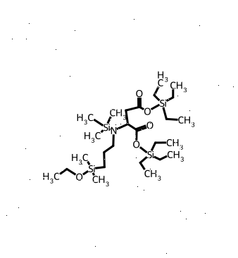 CCO[Si](C)(C)CCCN(C(CC(=O)O[Si](CC)(CC)CC)C(=O)O[Si](CC)(CC)CC)[Si](C)(C)C